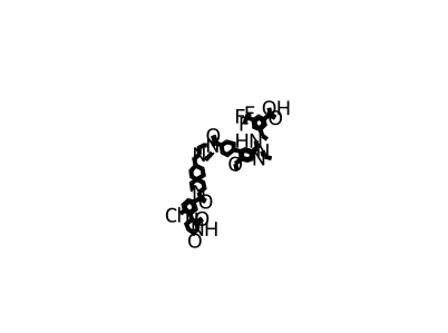 COc1cc2nc(C)nc(NC(C)c3cc(C(=O)O)cc(C(F)(F)F)c3)c2cc1C1CCC(C(=O)N2CCN(CC3CCC4(CC3)CCN(C(=O)c3ccc(Cl)c(N5CCC(=O)NC5=O)c3)CC4)CC2)CC1